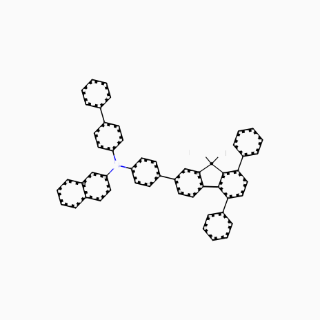 CC1(C)c2cc(-c3ccc(N(c4ccc(-c5ccccc5)cc4)c4ccc5ccccc5c4)cc3)ccc2-c2c(-c3ccccc3)ccc(-c3ccccc3)c21